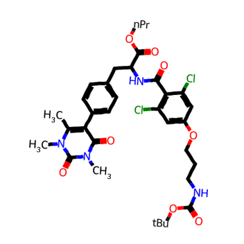 CCCOC(=O)C(Cc1ccc(-c2c(C)n(C)c(=O)n(C)c2=O)cc1)NC(=O)c1c(Cl)cc(OCCCNC(=O)OC(C)(C)C)cc1Cl